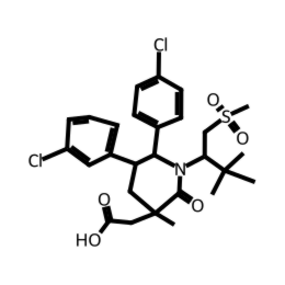 CC1(CC(=O)O)CC(c2cccc(Cl)c2)C(c2ccc(Cl)cc2)N(C(CS(C)(=O)=O)C(C)(C)C)C1=O